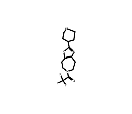 O=C(N1CCc2nc(C3CCNCC3)sc2CC1)C(F)(F)F